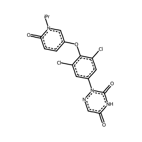 CC(C)n1cc(Oc2c(Cl)cc(-n3ncc(=O)[nH]c3=O)cc2Cl)ccc1=O